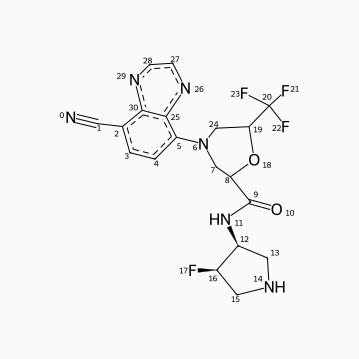 N#Cc1ccc(N2CC(C(=O)N[C@H]3CNC[C@H]3F)OC(C(F)(F)F)C2)c2nccnc12